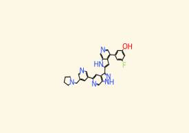 Oc1cc(F)cc(-c2cncc3[nH]c(-c4n[nH]c5cnc(-c6cncc(CN7CCCC7)c6)cc45)cc23)c1